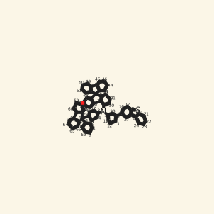 c1ccc(C2(c3ccc(N(c4cccc(-c5ccc6sc7ccccc7c6c5)c4)c4cccc5c4-c4ccccc4C54c5ccccc5-c5ccccc54)cc3)c3ccccc3-c3ccccc32)cc1